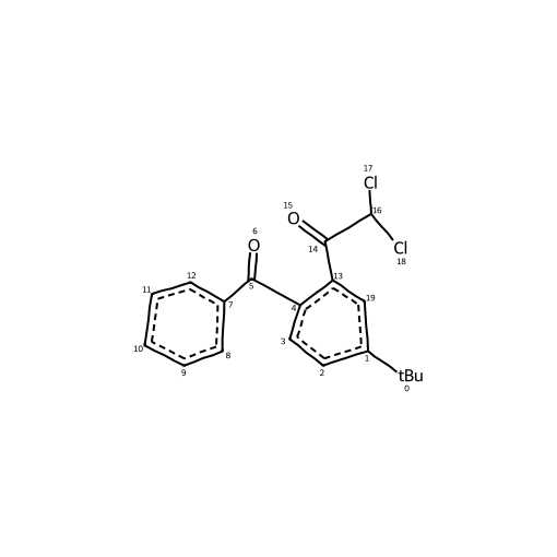 CC(C)(C)c1ccc(C(=O)c2ccccc2)c(C(=O)C(Cl)Cl)c1